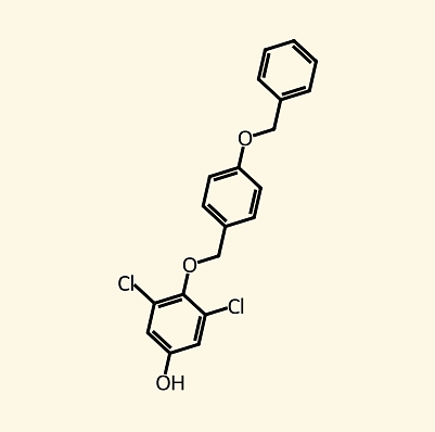 Oc1cc(Cl)c(OCc2ccc(OCc3ccccc3)cc2)c(Cl)c1